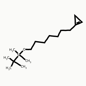 CC(C)(C)[Si](C)(C)OCCCCCCCC1=CC1